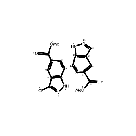 COC(=O)c1ccc2[nH]nc(Cl)c2c1.COC(=O)c1ccc2[nH]ncc2c1